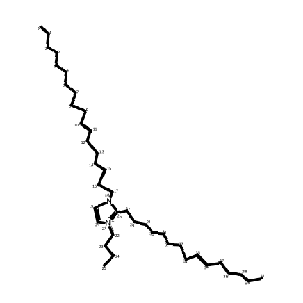 CCCCCCCCCCCCCCCCCCn1cc[n+](CCCC)c1CCCCCCCCCCCCCCC